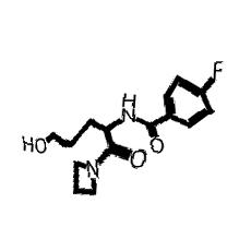 O=C(NC(CCCO)C(=O)N1CCC1)c1ccc(F)cc1